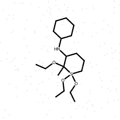 CCOC1(C)C(NC2CCCCC2)CCC[Si]1(OCC)OCC